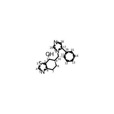 O[C@H]1c2scnc2CC[C@@H]1[C@H]1c2ccccc2-c2cncn21